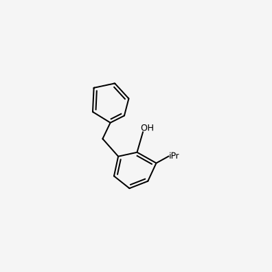 CC(C)c1cccc(Cc2ccccc2)c1O